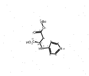 CCCCOC(=O)C[C@@H](Nc1ccncc1)C(=O)O